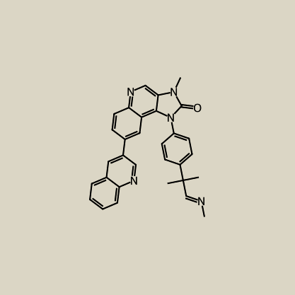 CN=CC(C)(C)c1ccc(-n2c(=O)n(C)c3cnc4ccc(-c5cnc6ccccc6c5)cc4c32)cc1